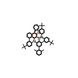 Cc1cccc(C)c1-c1cc2c3c(c1)N(c1ccc(C(C)(C)C)cc1-c1ccccc1)c1ccc4c(oc5ccccc54)c1B3N(c1ccc(C(C)(C)C)cc1)c1ccc(C(C)(C)C)cc1-2